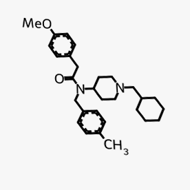 COc1ccc(CC(=O)N(Cc2ccc(C)cc2)C2CCN(CC3CCCCC3)CC2)cc1